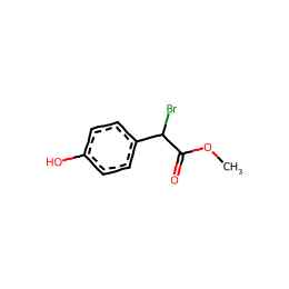 COC(=O)C(Br)c1ccc(O)cc1